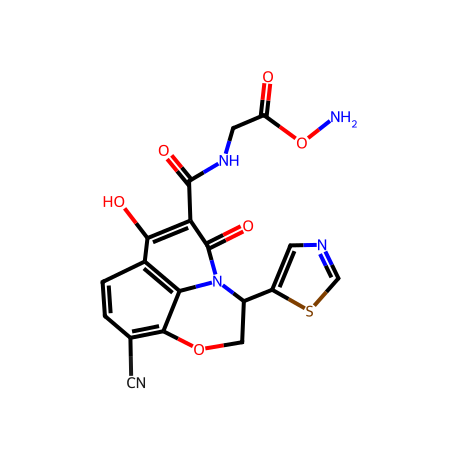 N#Cc1ccc2c(O)c(C(=O)NCC(=O)ON)c(=O)n3c2c1OCC3c1cncs1